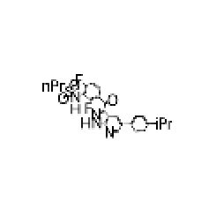 CCCS(=O)(=O)Nc1c(F)ccc(C(=O)c2n[nH]c3ncc(-c4ccc(C(C)C)cc4)cc23)c1F